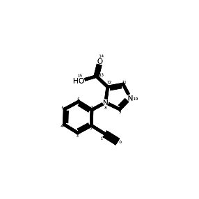 C#Cc1ccccc1-n1cncc1C(=O)O